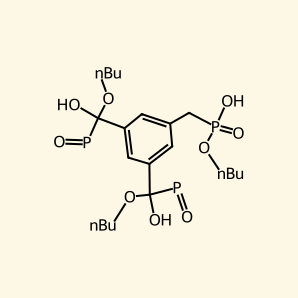 CCCCOC(O)(P=O)c1cc(CP(=O)(O)OCCCC)cc(C(O)(OCCCC)P=O)c1